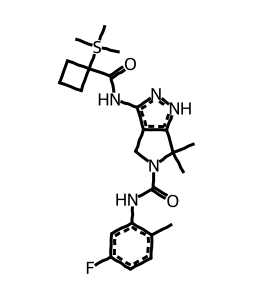 Cc1ccc(F)cc1NC(=O)N1Cc2c(NC(=O)C3(S(C)(C)C)CCC3)n[nH]c2C1(C)C